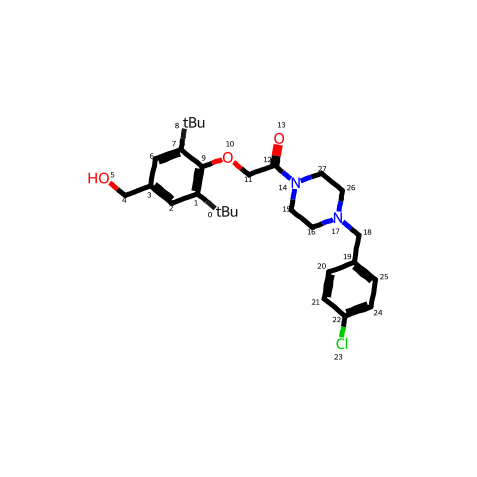 CC(C)(C)c1cc(CO)cc(C(C)(C)C)c1OCC(=O)N1CCN(Cc2ccc(Cl)cc2)CC1